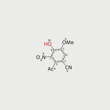 COc1cc(C#N)c(C(C)=O)c([N+](=O)[O-])c1O